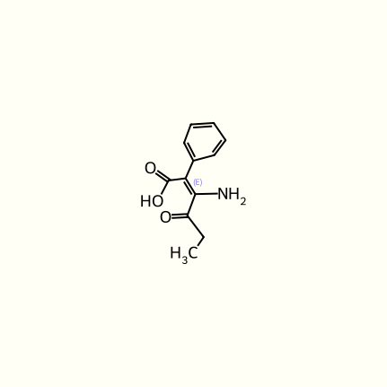 CCC(=O)/C(N)=C(\C(=O)O)c1ccccc1